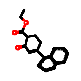 CCOC(=O)C1CCC(c2cccc3ccccc23)=CC1=O